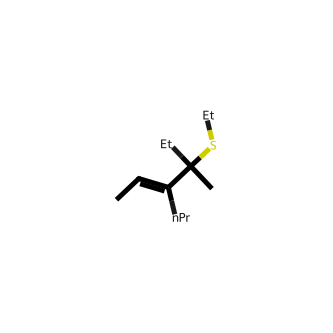 C/C=C(\CCC)C(C)(CC)SCC